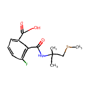 CSCC(C)(C)NC(=O)c1c(F)cccc1C(=O)O